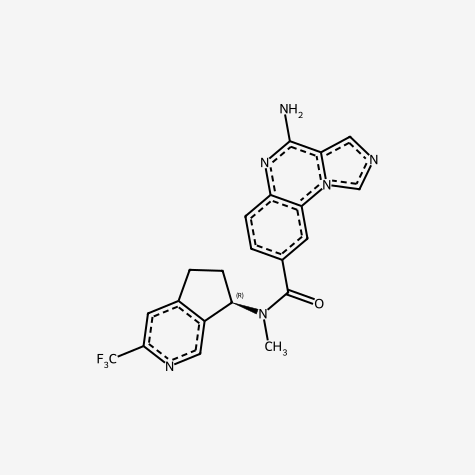 CN(C(=O)c1ccc2nc(N)c3cncn3c2c1)[C@@H]1CCc2cc(C(F)(F)F)ncc21